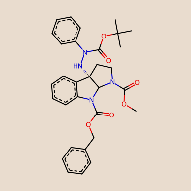 COC(=O)N1CC[C@]2(NN(C(=O)OC(C)(C)C)c3ccccc3)c3ccccc3N(C(=O)OCc3ccccc3)C12